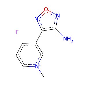 C[n+]1cccc(-c2nonc2N)c1.[I-]